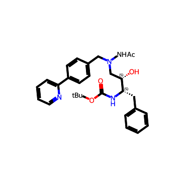 CC(=O)NN(Cc1ccc(-c2ccccn2)cc1)C[C@H](O)[C@H](Cc1ccccc1)NC(=O)OC(C)(C)C